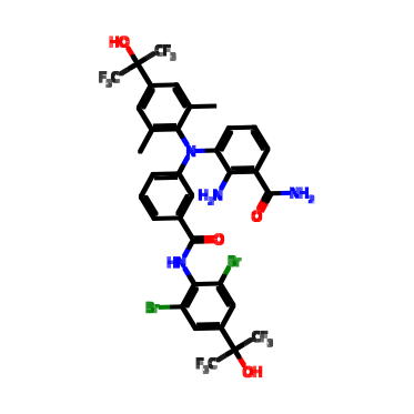 Cc1cc(C(O)(C(F)(F)F)C(F)(F)F)cc(C)c1N(c1cccc(C(=O)Nc2c(Br)cc(C(O)(C(F)(F)F)C(F)(F)F)cc2Br)c1)c1cccc(C(N)=O)c1N